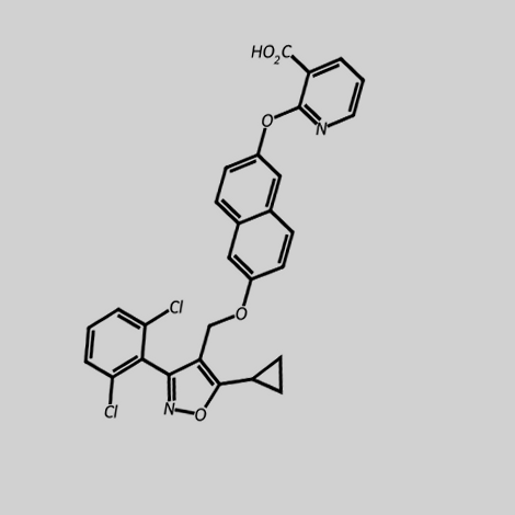 O=C(O)c1cccnc1Oc1ccc2cc(OCc3c(-c4c(Cl)cccc4Cl)noc3C3CC3)ccc2c1